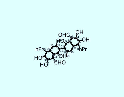 CCCc1c(O)c(O)c(C=O)c2c(O)c(-c3c(C)cc4c(CCC)c(O)c(O)c(C=O)c4c3O)c(C)cc12